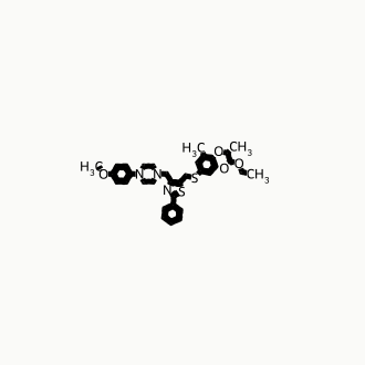 CCOC(=O)C(C)Oc1ccc(SCc2sc(-c3ccccc3)nc2CN2CCN(c3ccc(OC)cc3)CC2)cc1C